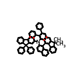 CC1(C)c2ccccc2-c2c(-c3c(N(c4ccc5c(c4)C(c4ccccc4)(c4ccccc4)c4ccccc4-5)c4cccc(-c5ccccc5)c4-c4ccccc4)ccc4ccccc34)cccc21